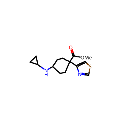 COC(=O)C1(c2cscn2)CCC(NC2CC2)CC1